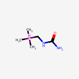 C[PH](C)(C)CNC(N)=O